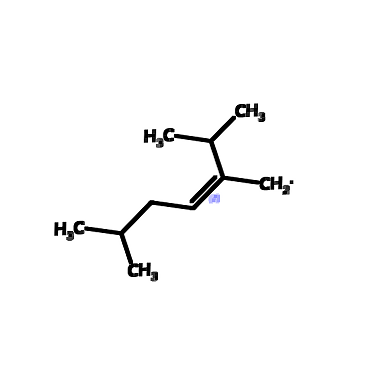 [CH2]/C(=C/CC(C)C)C(C)C